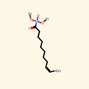 CCCCCCCC/C=C\CCCCCCCC(=O)[N+]([O-])(OCC)OCC